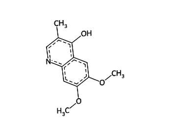 COc1cc2ncc(C)c(O)c2cc1OC